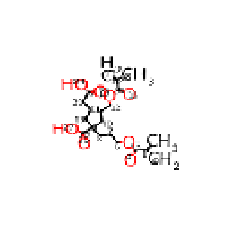 C=C(C)C(=O)OCCCC(CCCOC(=O)C(=C)C)(CCCC(=O)O)C(=O)O